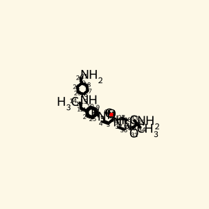 C/N=C(\C=C/N(C=O)c1ccc(CC(C)NC2CCC(CN)CC2)cc1)N1CCN(C(=O)C(C)(C)N)CC1